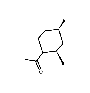 CC(=O)C1CC[C@@H](C)C[C@H]1C